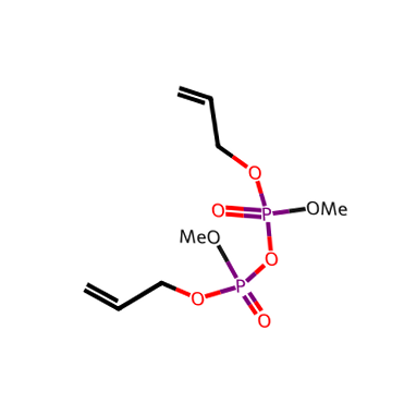 C=CCOP(=O)(OC)OP(=O)(OC)OCC=C